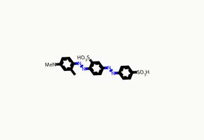 CNc1ccc(N=Nc2ccc(N=Nc3ccc(S(=O)(=O)O)cc3)cc2S(=O)(=O)O)c(C)c1